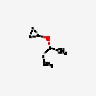 CC[C](C)OC1CC1